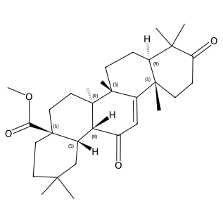 COC(=O)[C@]12CCC(C)(C)C[C@H]1[C@H]1C(=O)C=C3[C@@]4(C)CCC(=O)C(C)(C)[C@@H]4CC[C@@]3(C)[C@]1(C)CC2